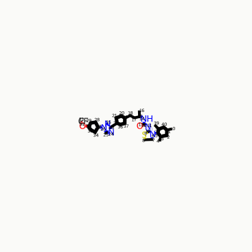 Cc1cc(C)c(N2CCS/C2=N\C(=O)NC(C)CCc2ccc(-c3ncn(-c4ccc(OC(F)(F)F)cc4)n3)cc2)c(C)c1